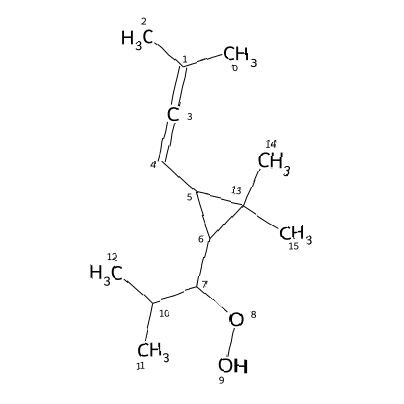 CC(C)=C=CC1C(C(OO)C(C)C)C1(C)C